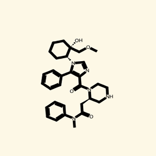 COC[C@]1(O)CCCC[C@H]1n1cnc(C(=O)N2CCNC[C@H]2CC(=O)N(C)c2ccccc2)c1-c1ccccc1